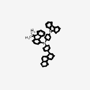 CC1(C)c2ccccc2-c2c(N(c3ccc(-c4cccc5c4ccc4ccccc45)cc3)c3ccc(-n4c5ccccc5c5ccccc54)cc3)cccc21